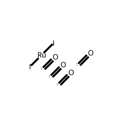 [C]=O.[C]=O.[C]=O.[C]=O.[I][Ru][I]